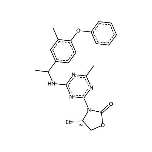 CC[C@H]1COC(=O)N1c1nc(C)nc(NC(C)c2ccc(Oc3ccccc3)c(C)c2)n1